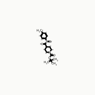 Cc1ccc(N(Br)C(=O)C2CCN(C(=O)OC(C)(C)C)CC2)cc1